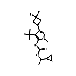 CC(OC(=O)Nc1c(C(C)(C)C)c(C2CC(F)(F)C2)nn1C)C1CC1